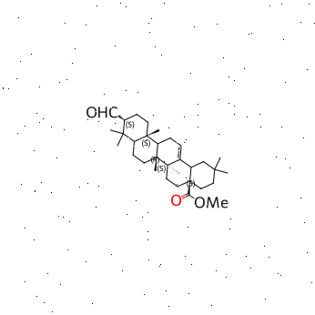 COC(=O)[C@]12CCC(C)(C)CC1C1=CCC3[C@@]4(C)CC[C@H](C=O)C(C)(C)C4CC[C@@]3(C)[C@]1(C)CC2